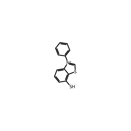 Sc1cccc2c1sc[n+]2-c1ccccc1